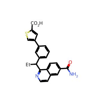 CCC(c1cccc(-c2csc(C(=O)O)c2)c1)c1nccc2cc(C(N)=O)ccc12